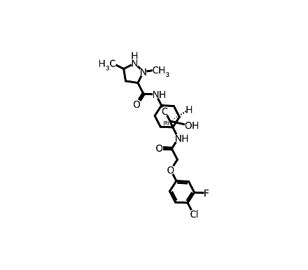 CC1CC(C(=O)NC23CCC(NC(=O)COc4ccc(Cl)c(F)c4)(CC2)[C@H](O)C3)N(C)N1